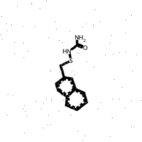 NC(=O)NSCc1ccc2ccccc2c1